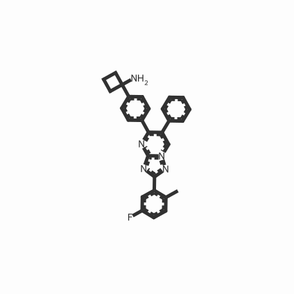 Cc1ccc(F)cc1-c1nc2nc(-c3ccc(C4(N)CCC4)cc3)c(-c3ccccc3)cn2n1